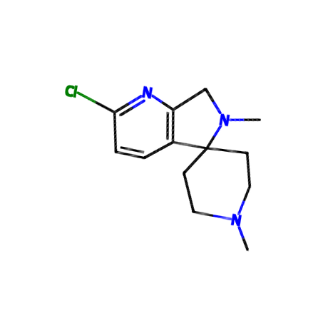 CN1CCC2(CC1)c1ccc(Cl)nc1CN2C